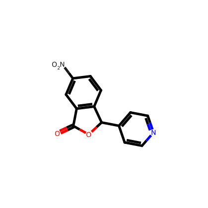 O=C1OC(c2ccncc2)c2ccc([N+](=O)[O-])cc21